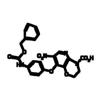 O=C(Nc1ccc(Oc2c([N+](=O)[O-])cnc3c2OCCN3C(=O)O)cc1)OCc1ccccc1